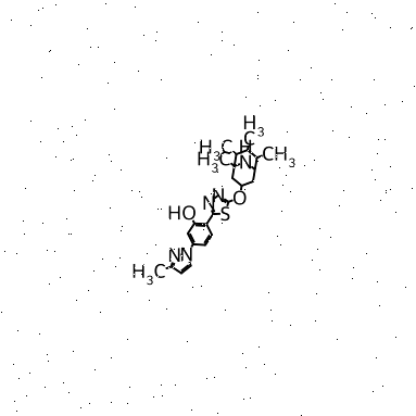 Cc1ccn(-c2ccc(-c3nnc(OC4CC5NC(C)(C4)C(C)C(C)C5C)s3)c(O)c2)n1